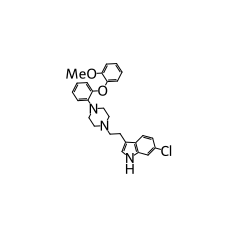 COc1ccccc1Oc1ccccc1N1CCN(CCc2c[nH]c3cc(Cl)ccc23)CC1